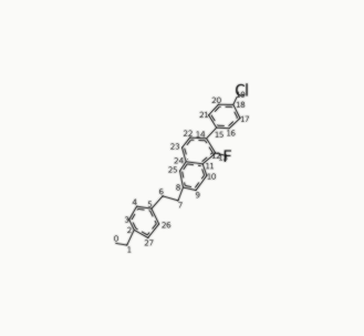 CCc1ccc(CCc2ccc3c(F)c(-c4ccc(Cl)cc4)ccc3c2)cc1